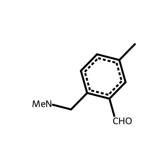 CNCc1ccc(C)cc1C=O